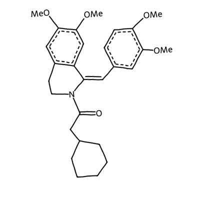 COc1ccc(C=C2c3cc(OC)c(OC)cc3CCN2C(=O)CC2CCCCC2)cc1OC